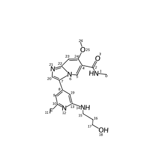 CNC(=O)c1cn2c(-c3cc(F)nc(NCCCO)c3)cnc2cc1OC